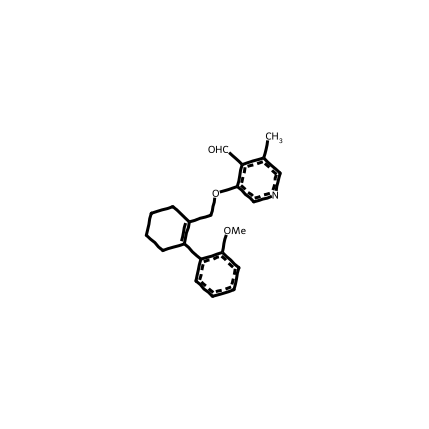 COc1ccccc1C1=C(COc2cncc(C)c2C=O)CCCC1